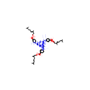 CC(C)CCCC(C)CCOC(=O)c1ccc(NC2=NC3=NC(Nc4ccc(C(=O)OCCC(C)CCCC(C)C)cc4)=NC4=NC(Nc5ccc(C(=O)OCCC(C)CCCC(C)C)cc5)=NC(=N2)N34)cc1